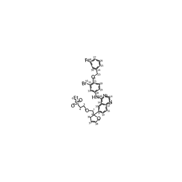 CCS(=O)(=O)CCOCC1(c2ccc3ncnc(Nc4ccc(OCc5cccc(F)c5)c(Br)c4)c3c2)CC=CO1